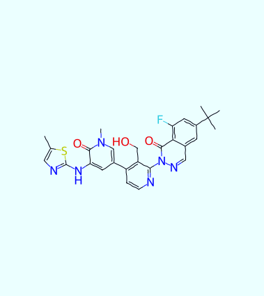 Cc1cnc(Nc2cc(-c3ccnc(-n4ncc5cc(C(C)(C)C)cc(F)c5c4=O)c3CO)cn(C)c2=O)s1